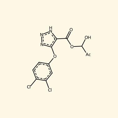 CC(=O)C(O)OC(=O)c1[nH]nnc1Oc1ccc(Cl)c(Cl)c1